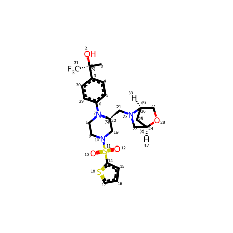 C[C@](O)(c1ccc(N2CCN(S(=O)(=O)c3cccs3)C[C@@H]2CN2C[C@H]3C[C@@H]2CO3)cc1)C(F)(F)F